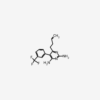 C=CCCc1nc(N)nc(N)c1-c1cccc(C(F)(F)F)c1